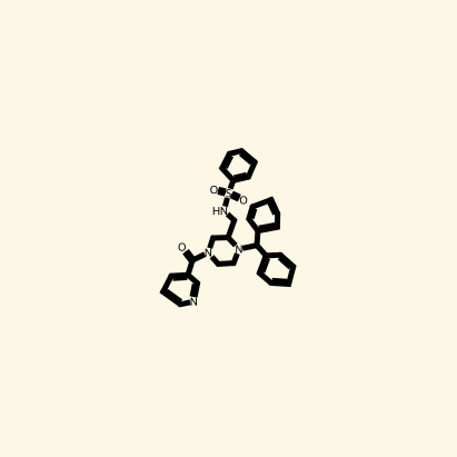 O=C(c1cccnc1)N1CCN(C(c2ccccc2)c2ccccc2)C(CNS(=O)(=O)c2ccccc2)C1